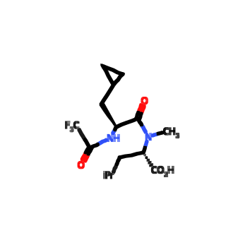 CC(C)C[C@@H](C(=O)O)N(C)C(=O)[C@H](CC1CC1)NC(=O)C(F)(F)F